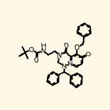 CC(C)(C)OC(=O)NCCN1CN(C(c2ccccc2)c2ccccc2)n2ccc(=O)c(OCc3ccccc3)c2C1=O